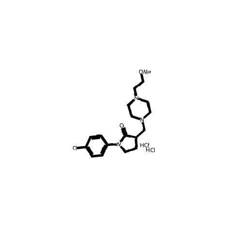 COCCN1CCN(CC2CCN(c3ccc(Cl)cc3)C2=O)CC1.Cl.Cl